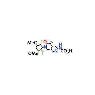 COc1cc(OC)c(F)c(N2Cc3cnc(NC(=O)O)cc3C3(CC3)C2=O)c1F